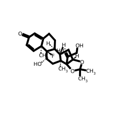 C=C(CO)C12OC(C)(C)O[C@@H]1C[C@H]1[C@@H]3CCC4=CC(=O)C=C[C@]4(C)[C@@]3(F)[C@@H](O)C[C@@]12C